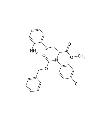 COC(=O)C(CSc1ccccc1N)N(C(=O)OCc1ccccc1)c1ccc(Cl)cc1